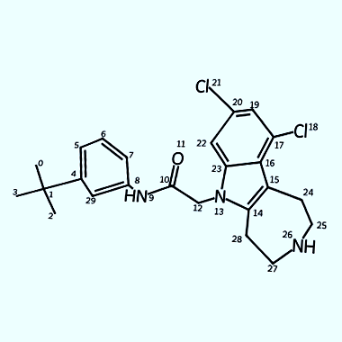 CC(C)(C)c1cccc(NC(=O)Cn2c3c(c4c(Cl)cc(Cl)cc42)CCNCC3)c1